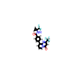 O=C(NC1(C(F)F)CC1)c1ccc(-c2cccn3c(=O)cc(C(F)(F)F)nc23)cc1